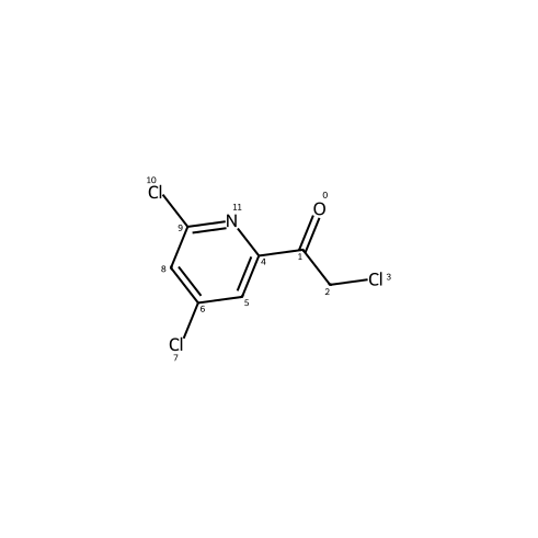 O=C(CCl)c1cc(Cl)cc(Cl)n1